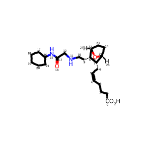 O=C(O)CCC/C=C\C[C@@H]1[C@H](CCNCC(=O)NC2CCCCC2)[C@@H]2CC[C@H]1O2